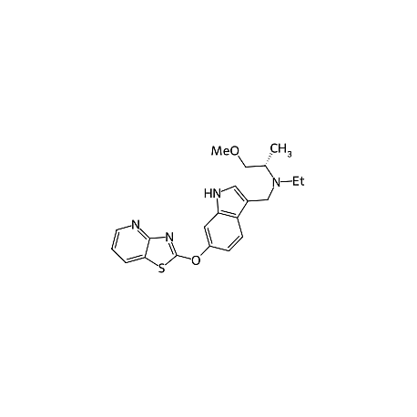 CCN(Cc1c[nH]c2cc(Oc3nc4ncccc4s3)ccc12)[C@@H](C)COC